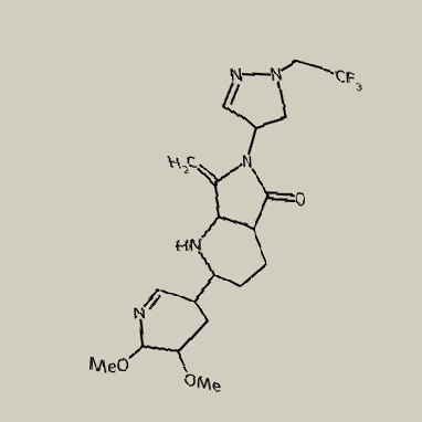 C=C1C2NC(C3C=NC(OC)C(OC)C3)CCC2C(=O)N1C1C=NN(CC(F)(F)F)C1